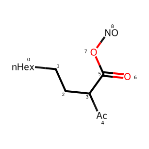 CCCCCCCCC(C(C)=O)C(=O)ON=O